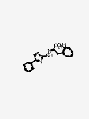 O=C(O)/C(Cc1ccccc1[N+](=O)[O-])=N/Nc1nc(-c2ccccc2)cs1